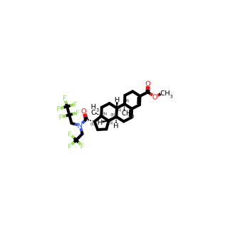 COC(=O)C1=CC2=CC[C@H]3[C@@H]4CC[C@H](C(=O)N(CC(F)(F)F)CC(F)(F)C(F)(F)F)[C@@]4(C)CC[C@@H]3[C@@]2(C)CC1